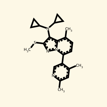 CSc1nn2c(-c3cnc(C)cc3C)ccc(C)c2c1N(C1CC1)C1CC1